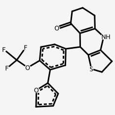 O=C1CCCC2=C1C(c1ccc(OC(F)(F)F)c(-c3ccco3)c1)C1=C(CCS1)N2